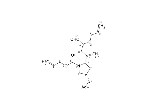 C=CCOC(=O)N1C[C@@H](SC(C)=O)C[C@H]1C(=C)CN(C=O)OCC=C